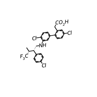 C[C@H]([C@H](CNc1cc(-c2ccc(Cl)cc2CC(=O)O)ccc1Cl)c1ccc(Cl)cc1)C(F)(F)F